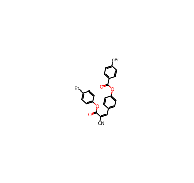 CCCc1ccc(C(=O)Oc2ccc(C=C(C#N)C(=O)Oc3ccc(CC)cc3)cc2)cc1